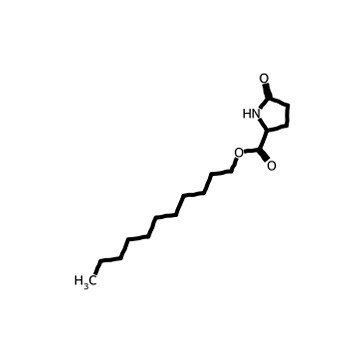 CCCCCCCCCCCOC(=O)C1CCC(=O)N1